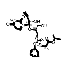 C#C[C@H](O)[C@@H](O[C@@H](CO)COP(=S)(N[C@@H](C)C(=O)OC(C)C)Oc1ccccc1)n1ccc(=O)[nH]c1=O